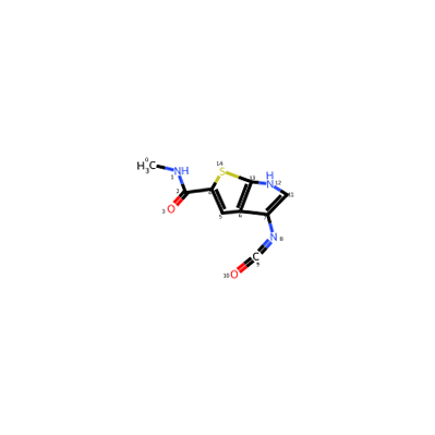 CNC(=O)c1cc2c(N=C=O)c[nH]c2s1